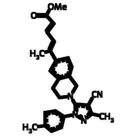 COC(=O)/C=C/C=C(\C)c1ccc2c(c1)CCN(c1c(C#N)c(C)nn1-c1ccc(C)cc1)C2